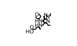 C=C(CCC(=O)O)NCc1c(CC)nc2c(cnn2CC)c1NC1CCOCC1